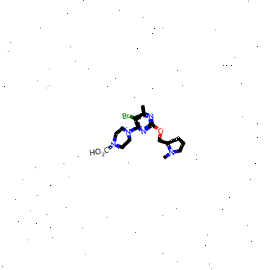 Cc1nc(OCC2CCCN2C)nc(N2CCN(C(=O)O)CC2)c1Br